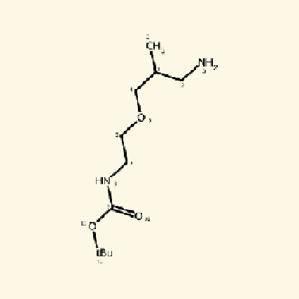 CC(CN)COCCNC(=O)OC(C)(C)C